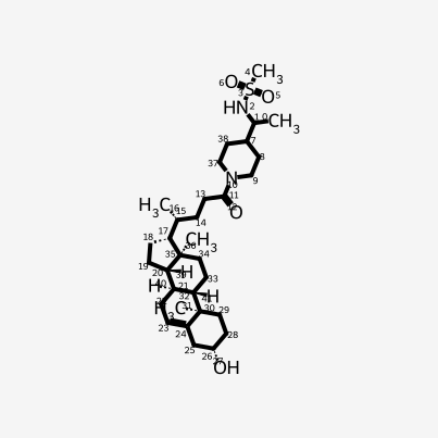 CC(NS(C)(=O)=O)C1CCN(C(=O)CC[C@@H](C)[C@H]2CC[C@H]3[C@@H]4CC=C5C[C@@H](O)CC[C@]5(C)[C@H]4CC[C@]23C)CC1